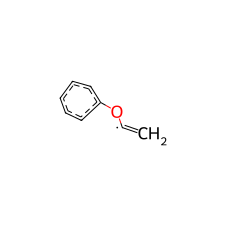 C=[C]Oc1ccccc1